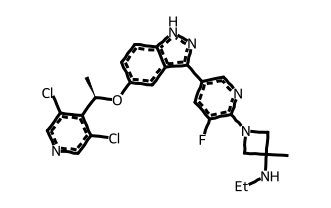 CCNC1(C)CN(c2ncc(-c3n[nH]c4ccc(O[C@H](C)c5c(Cl)cncc5Cl)cc34)cc2F)C1